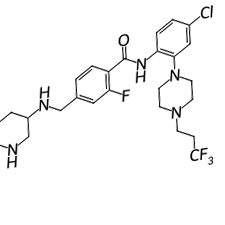 O=C(Nc1ccc(Cl)cc1N1CCN(CCC(F)(F)F)CC1)c1ccc(CNC2CCCNC2)cc1F